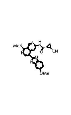 CNc1ncc(-c2nc3cc(OC)ccc3o2)c2cc(NC(=O)[C@@H]3C[C@H]3C#N)ncc12